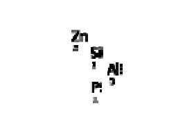 [Al].[P].[Si].[Zn]